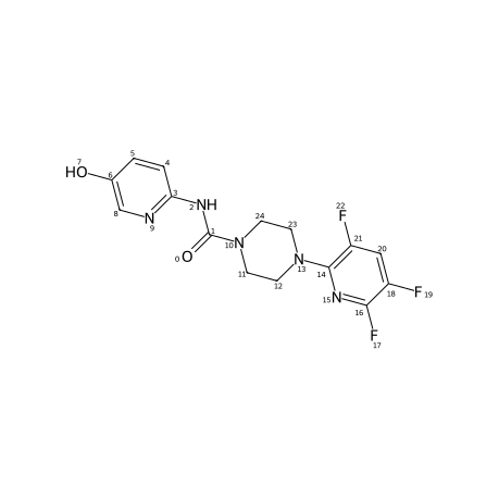 O=C(Nc1ccc(O)cn1)N1CCN(c2nc(F)c(F)cc2F)CC1